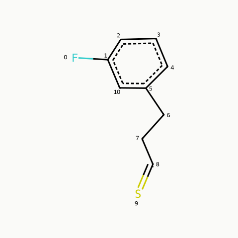 Fc1cccc(CC[C]=S)c1